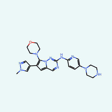 Cn1cc(-c2cc3cnc(Nc4ccc(N5CCNCC5)cn4)nn3c2N2CCOCC2)cn1